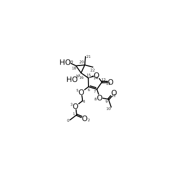 CC(=O)OCOC1=C(OC(C)=O)C(=O)O[C@@H]1[C@@]1(O)C(O)C1(C)C